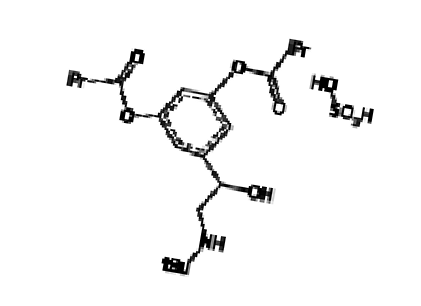 CC(C)C(=O)Oc1cc(OC(=O)C(C)C)cc(C(O)CNC(C)(C)C)c1.O=S(=O)(O)O